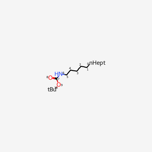 [CH2]CCCCCCCCCCCNC(=O)OC(C)(C)C